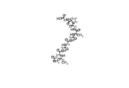 CCC(=O)NC(CCC(N)=O)C(=O)NCC(=O)NCC(=O)NCC(=O)NC(C)C(=O)NCC(=O)N1CCCC1C(=O)NCC(=O)O